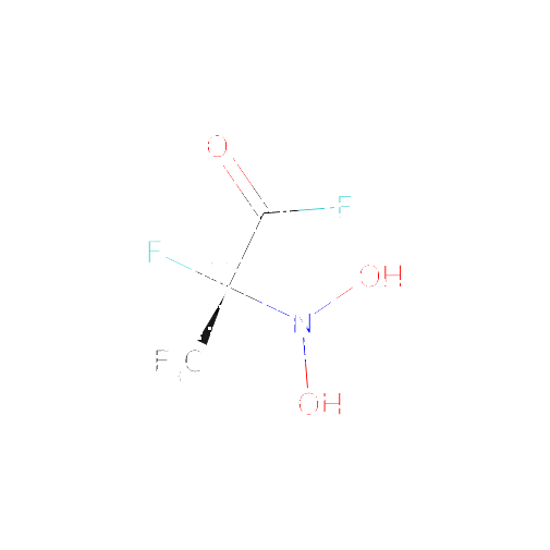 O=C(F)[C@@](F)(N(O)O)C(F)(F)F